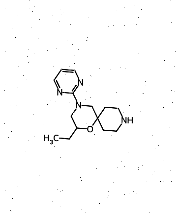 CCC1CN(c2ncccn2)CC2(CCNCC2)O1